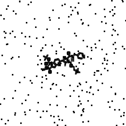 CCOC(=O)c1cc2nc(-c3nc(C(=O)NCc4ccncc4)n(COCC[Si](C)(C)C)c3C)ccc2n1C(=O)OC(C)(C)C